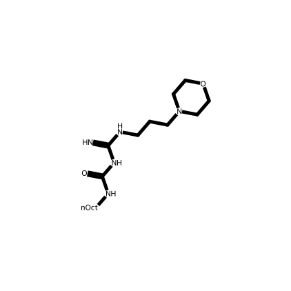 CCCCCCCCNC(=O)NC(=N)NCCCN1CCOCC1